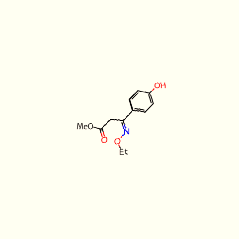 CCON=C(CC(=O)OC)c1ccc(O)cc1